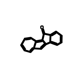 O=C1c2ccccc2-c2cc3cccccc-3c21